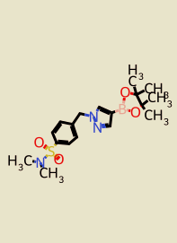 CN(C)S(=O)(=O)c1ccc(Cn2cc(B3OC(C)(C)C(C)(C)O3)cn2)cc1